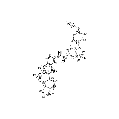 CCN1CCN(Cc2ccc(C(=O)Nc3ccc(C)c(NC(=O)c4cnc5[nH]ccc5c4OC)c3)cc2C(F)(F)F)CC1